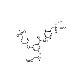 CCOP(=O)(Cc1cnc(NC(=O)c2cc(Oc3ccc(S(C)(=O)=O)cc3)cc(O[C@@H](C)COC)c2)cn1)OC